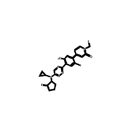 O=c1cc(-c2cc(O)c(-c3ncc(N(C4CC4)C4CCCC4F)nn3)cc2F)ccn1CF